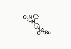 CC(C)(C)OC(=O)N1CCC(Nc2ccccc2[N+](=O)[O-])CC1